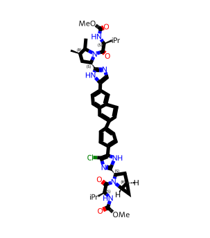 COC(=O)N[C@H](C(=O)N1C(C)[C@H](C)C[C@H]1c1ncc(-c2ccc3cc(-c4ccc(-c5[nH]c([C@@H]6C[C@H]7C[C@H]7N6C(=O)[C@@H](NC(=O)OC)C(C)C)nc5Cl)cc4)ccc3c2)[nH]1)C(C)C